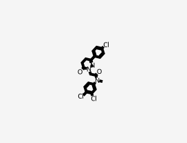 CN(C(=O)CN1N=C(c2ccc(Cl)cc2)CCC1=O)c1ccc(Cl)c(Cl)c1